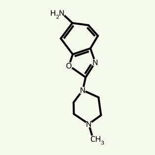 CN1CCN(c2nc3ccc(N)cc3o2)CC1